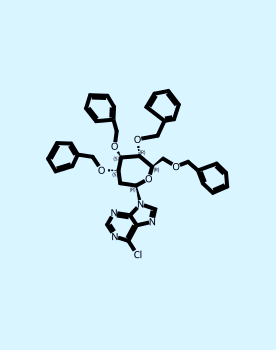 Clc1ncnc2c1ncn2[C@H]1C[C@H](OCc2ccccc2)[C@H](OCc2ccccc2)[C@H](OCc2ccccc2)[C@@H](COCc2ccccc2)O1